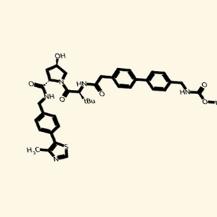 Cc1ncsc1-c1ccc(CNC(=O)[C@@H]2C[C@@H](O)CN2C(=O)[C@@H](NC(=O)Cc2ccc(-c3ccc(CNC(=O)OC(C)(C)C)cc3)cc2)C(C)(C)C)cc1